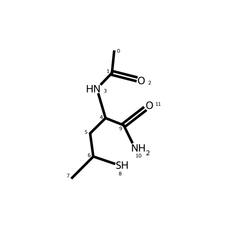 CC(=O)NC(CC(C)S)C(N)=O